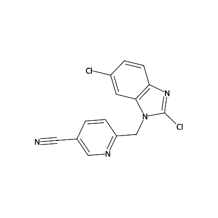 N#Cc1ccc(Cn2c(Cl)nc3ccc(Cl)cc32)nc1